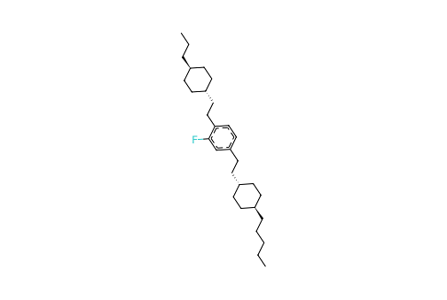 CCCCC[C@H]1CC[C@H](CCc2ccc(CC[C@H]3CC[C@H](CCC)CC3)c(F)c2)CC1